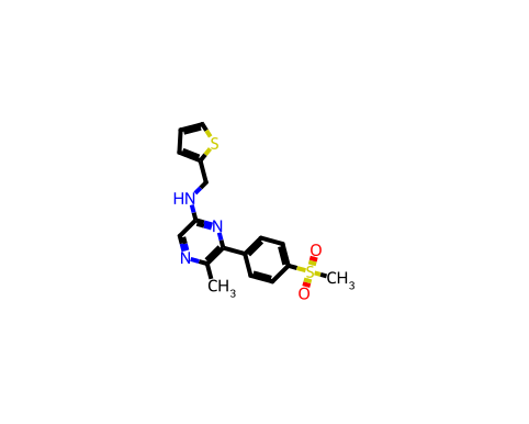 Cc1ncc(NCc2cccs2)nc1-c1ccc(S(C)(=O)=O)cc1